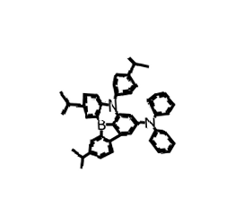 CC(C)c1ccc(N2c3ccc(C(C)C)cc3B3c4cc(C(C)C)ccc4-c4cc(N(c5ccccc5)c5ccccc5)cc2c43)cc1